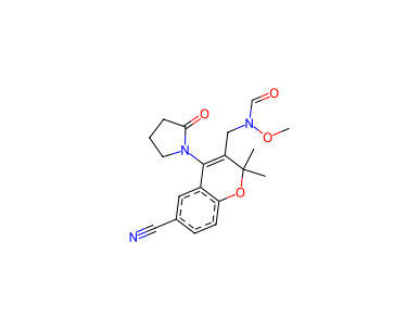 CON(C=O)CC1=C(N2CCCC2=O)c2cc(C#N)ccc2OC1(C)C